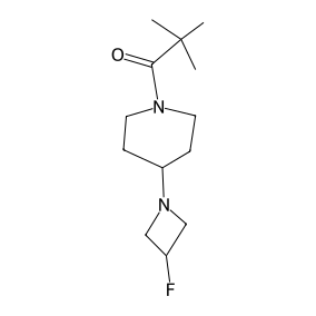 CC(C)(C)C(=O)N1CCC(N2CC(F)C2)CC1